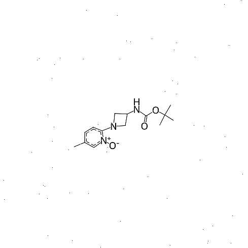 Cc1ccc(N2CC(NC(=O)OC(C)(C)C)C2)[n+]([O-])c1